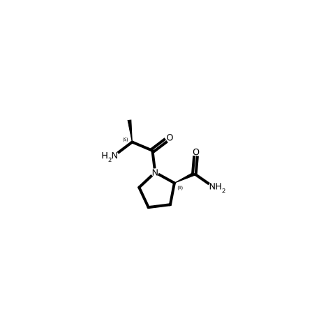 C[C@H](N)C(=O)N1CCC[C@@H]1C(N)=O